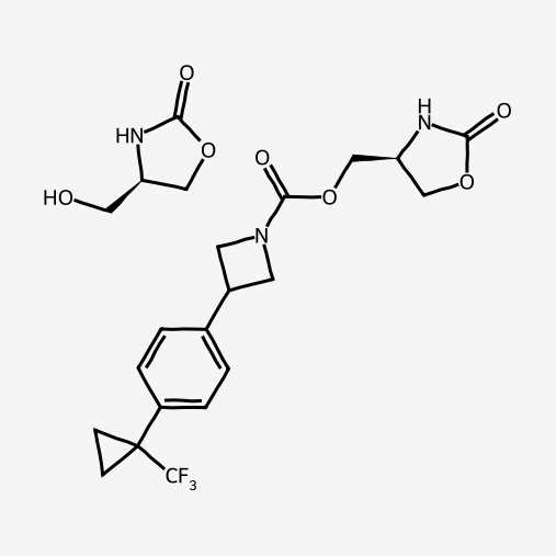 O=C1N[C@H](CO)CO1.O=C1N[C@H](COC(=O)N2CC(c3ccc(C4(C(F)(F)F)CC4)cc3)C2)CO1